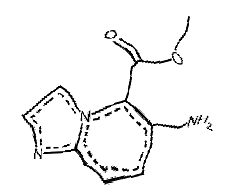 COC(=O)c1c(N)ccc2nccn12